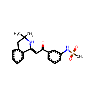 CC1(C)Cc2ccccc2C(=CC(=O)c2cccc(NS(C)(=O)=O)c2)N1